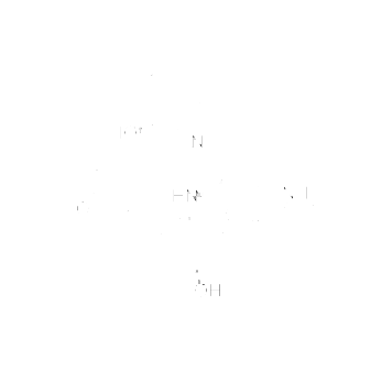 COc1ccc(C(CN(C)C)C2(O)CCCCC2)cc1.NCCc1c[nH]c2ccc(O)cc12